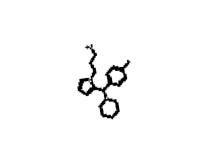 OCCCn1cccc1C(c1ccc(F)cc1)N1CCCCC1